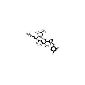 COCCN1CN(CC(C)C)N2C=C(c3ncc(Cc4c#cc(F)cc4F)s3)C(O)C(O)=C2C1=O